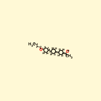 CCCCOc1ccc(-c2ccc(-c3ccc(C(C)=O)cc3)cc2)cc1